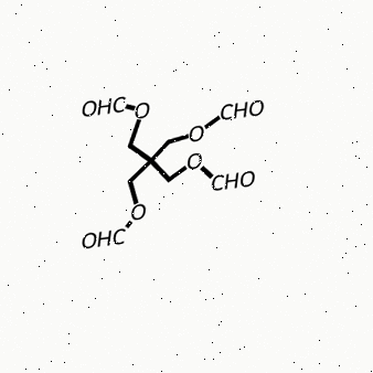 O=COCC(COC=O)(COC=O)COC=O